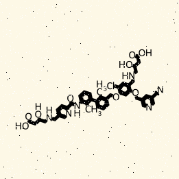 Cc1c(COc2cc(OCc3cncc(C#N)c3)c(CNCC(O)CC(=O)O)cc2Cl)cccc1-c1cccc(NC(=O)c2ccc(CNCC(O)CC(=O)O)cn2)c1C